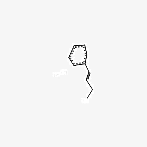 Cl.Cl.[Pt][CH2]C=Cc1ccccc1